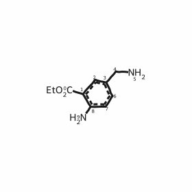 CCOC(=O)c1cc(CN)ccc1N